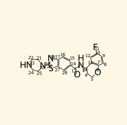 O=C(N[C@H]1CCOc2ccc(F)cc21)c1ccc2nc(N3CCNCC3)sc2c1